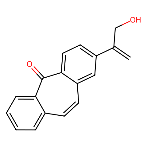 C=C(CO)c1ccc2c(=O)c3ccccc3ccc2c1